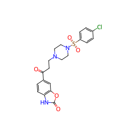 O=C(CCN1CCN(S(=O)(=O)c2ccc(Cl)cc2)CC1)c1ccc2[nH]c(=O)oc2c1